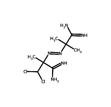 CC(C)(N=NC(C)(C(=N)N)C(Cl)Cl)C(=N)N